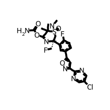 CN=S1(=O)C[C@@](CF)(c2cc(-c3cc(-c4ncc(Cl)cn4)no3)ccc2F)N=C(OC(N)=O)C1(C)C